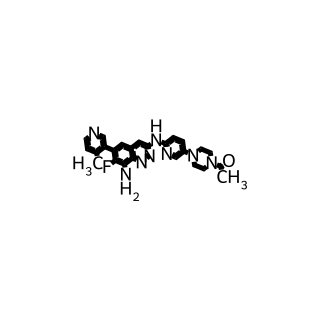 CC(=O)N1CCN(c2ccc(Nc3cc4cc(-c5cnccc5C)c(F)c(N)c4nn3)nc2)CC1